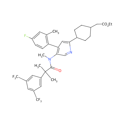 CCOC(=O)CC1CCC(c2cc(-c3ccc(F)cc3C)c(N(C)C(=O)C(C)(C)c3cc(C(F)(F)F)cc(C(F)(F)F)c3)cn2)CC1